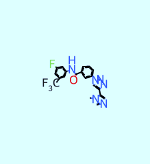 Cn1cncc1-c1cn(-c2cccc(C(=O)Nc3cc(F)cc(C(F)(F)F)c3)c2)nn1